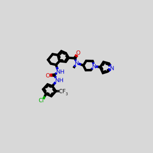 CN(C(=O)c1ccc2c(c1)C(NC(=O)Nc1ccc(Cl)cc1C(F)(F)F)CCC2)C1CCN(c2ccncc2)CC1